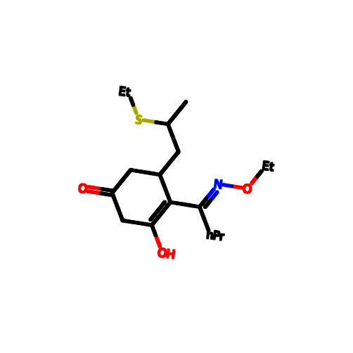 CCCC(=NOCC)C1=C(O)CC(=O)CC1CC(C)SCC